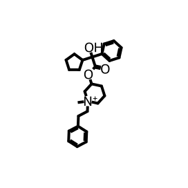 C[N+]1(CCc2ccccc2)CCCC(OC(=O)C(O)(c2ccccc2)C2CCCC2)C1